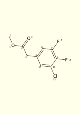 COC(=O)Cc1cc(F)c(F)c(Cl)c1